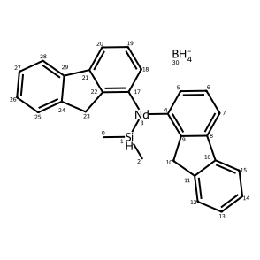 C[SiH](C)[Nd]([c]1cccc2c1Cc1ccccc1-2)[c]1cccc2c1Cc1ccccc1-2.[BH4-]